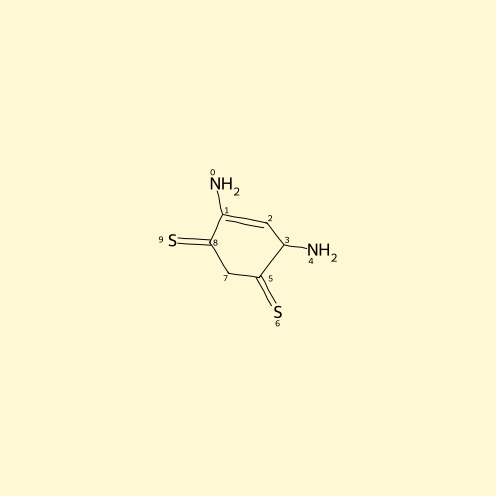 NC1=CC(N)C(=S)CC1=S